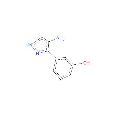 Nc1c[nH]nc1-c1cccc(O)c1